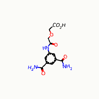 NC(=O)c1cc(NC(=O)COCC(=O)O)cc(C(N)=O)c1